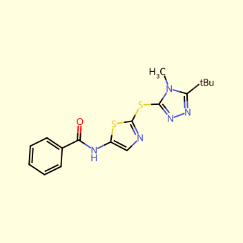 Cn1c(Sc2ncc(NC(=O)c3ccccc3)s2)nnc1C(C)(C)C